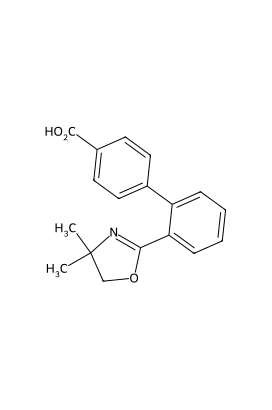 CC1(C)COC(c2ccccc2-c2ccc(C(=O)O)cc2)=N1